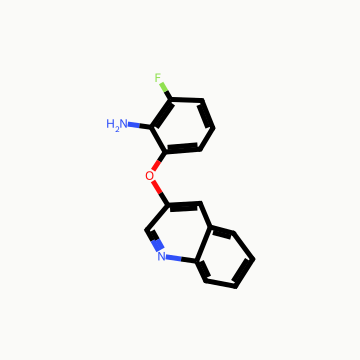 Nc1c(F)cccc1Oc1cnc2ccccc2c1